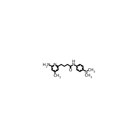 Cc1cc(N)nc(CCCC(=O)Nc2ccc(N(C)C)cc2)c1